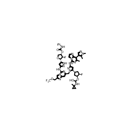 Cc1nc(Nc2cc([C@H]3C[C@@H](F)[C@@H](OC(O)NC4(C)CC4)C3)n(Cc3cc4nc(COC(F)(F)F)cn4c(Nc4cc([C@@H]5OC[C@H](OC(=O)NC(C)C)[C@H]5F)[nH]n4)n3)n2)n2ccnc2c1-c1cnn(C)c1C